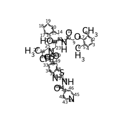 Cc1cccc(C)c1OCC(=O)N[C@@H](Cc1ccccc1)[C@H](O)CN(CC(C)C)S(=O)(=O)c1ccc2nc(NC(=O)c3ccncc3)sc2c1